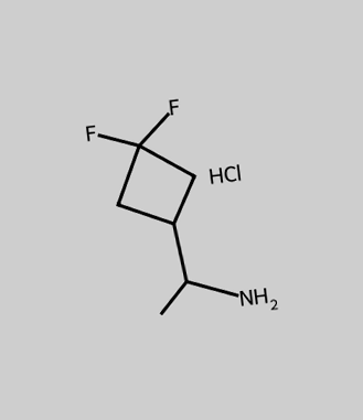 CC(N)C1CC(F)(F)C1.Cl